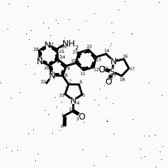 C=CC(=O)N1CCC(c2c(-c3ccc(CN4CCCS4(=O)=O)cc3)c3c(N)ncnc3n2C)C1